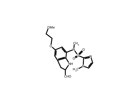 COCCOc1cc2c(c(N(C)S(=O)(=O)c3nccn3C)c1)NC(C=O)C2